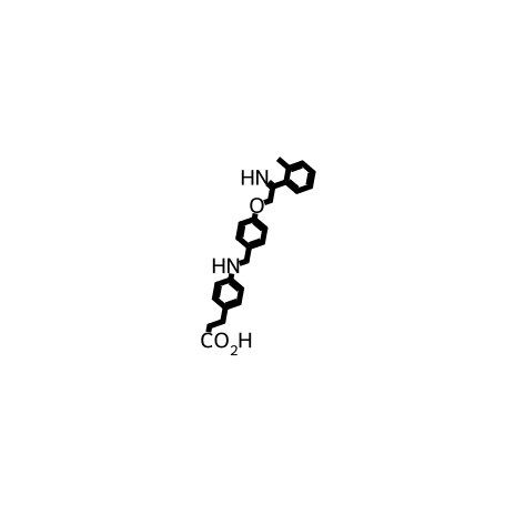 Cc1ccccc1C(=N)COc1ccc(CNc2ccc(CCC(=O)O)cc2)cc1